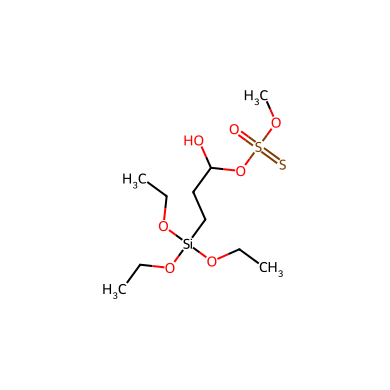 CCO[Si](CCC(O)OS(=O)(=S)OC)(OCC)OCC